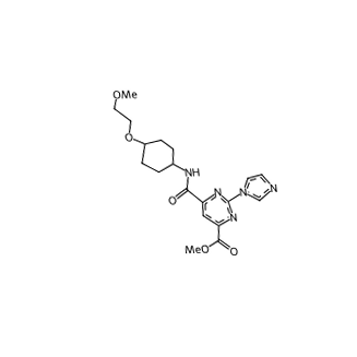 COCCOC1CCC(NC(=O)c2cc(C(=O)OC)nc(-n3ccnc3)n2)CC1